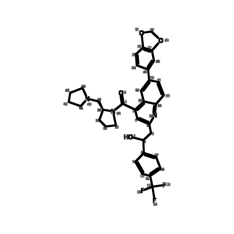 O=C(c1cc(CC(O)c2ccc(C(F)(F)F)cc2)nc2ccc(-c3ccc4c(c3)OCO4)cc12)N1CCC[C@H]1CN1CCCC1